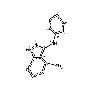 Nc1ncnc2[nH]nc(Nc3ccccc3)c12